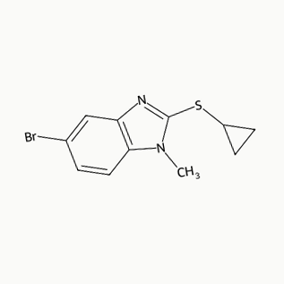 Cn1c(SC2CC2)nc2cc(Br)ccc21